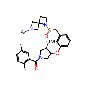 COC1CN(C(=O)c2cc(C)ccc2C)CC1Oc1cccc(C[S+]([O-])N2CCC23CN(C(C)=O)C3)c1